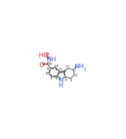 NC1CCc2[nH]c3ccc(C(=O)NO)cc3c2C1